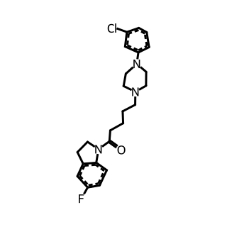 O=C(CCCCN1CCN(c2cccc(Cl)c2)CC1)N1CCc2cc(F)ccc21